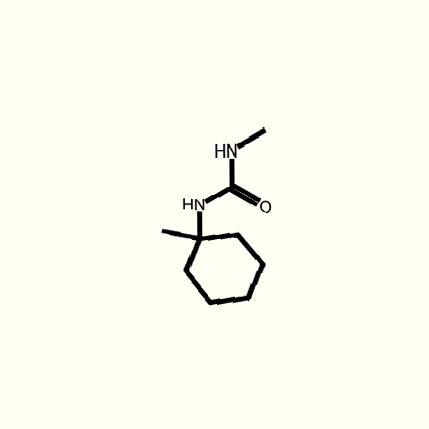 CNC(=O)NC1(C)CCCCC1